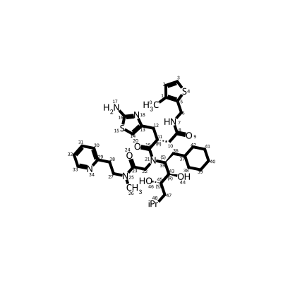 Cc1ccsc1CNC(=O)C[C@@H](Cc1csc(N)n1)C(=O)N(CC(=O)N(C)CCc1ccccn1)[C@@H](CC1CCCCC1)[C@@H](O)[C@@H](O)CC(C)C